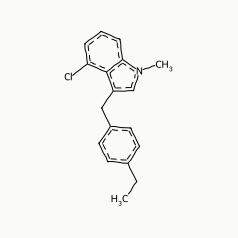 CCc1ccc(Cc2cn(C)c3cccc(Cl)c23)cc1